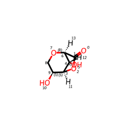 O=C1O[C@@H]2[C@@H](O)[C@H]1OC[C@@H]2O